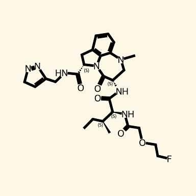 CC[C@H](C)[C@H](NC(=O)COCCF)C(=O)N[C@H]1CN(C)c2cccc3c2N(C1=O)[C@H](C(=O)NCC1=CCN=N1)C3